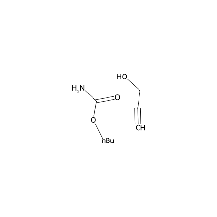 C#CCO.CCCCOC(N)=O